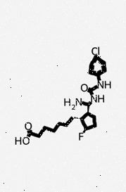 NC(NC(=O)Nc1ccc(Cl)cc1)[C@H]1CC[C@@H](F)[C@@H]1CCCCCCC(=O)O